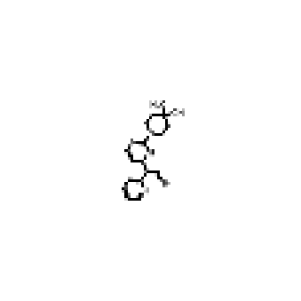 CC1(O)CCN(C2=NC=CC(C(C=N)c3ccccn3)N2)CC1